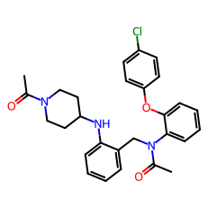 CC(=O)N1CCC(Nc2ccccc2CN(C(C)=O)c2ccccc2Oc2ccc(Cl)cc2)CC1